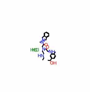 CCNCCN(CC(=O)N(C)N1Cc2ccccc2C1)C(=O)CNc1cc(C(C)O)ccc1C.Cl.Cl